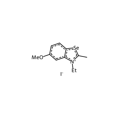 CC[n+]1c(C)[se]c2ccc(OC)cc21.[I-]